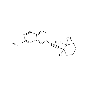 CCOC(=O)c1cnc2ccc(C#CC34OC3CCCC4(C)C)cc2c1